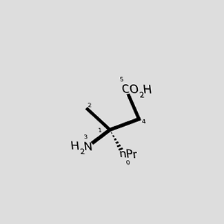 CCC[C@@](C)(N)CC(=O)O